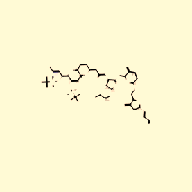 C=C1C[C@H](CCC=O)OC1CC[C@H]1C[C@@H](C)C(=C)C(C[C@@H]2O[C@H](C[C@H](C)CC)[C@H](C)[C@H]2CC(=O)CC2CC[C@@H]3O[C@@H]([C@H](/C=C/C)O[Si](C)(C)C(C)(C)C)[C@@H](O[Si](C)(C)C(C)(C)C)[C@@H](C)[C@H]3O2)O1